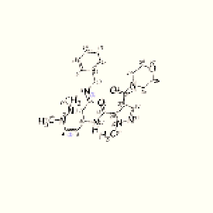 C=NN(C)/C=C\C(C/C=N/Cc1ccccc1)NC(=O)c1c(C(=O)N2CCOCC2)cnn1C